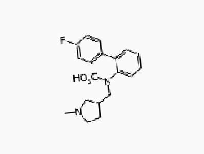 CN1CCC(CN(C(=O)O)c2ccccc2-c2ccc(F)cc2)C1